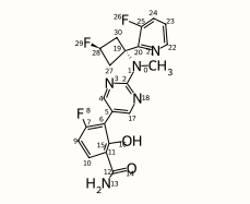 CN(c1ncc(-c2c(F)ccc(C(N)=O)c2O)cn1)[C@]1(c2ncccc2F)C[C@@H](F)C1